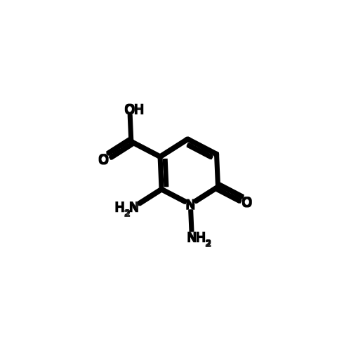 Nc1c(C(=O)O)ccc(=O)n1N